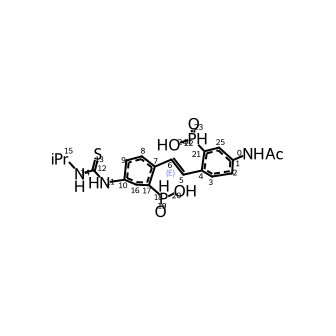 CC(=O)Nc1ccc(/C=C/c2ccc(NC(=S)NC(C)C)cc2[PH](=O)O)c([PH](=O)O)c1